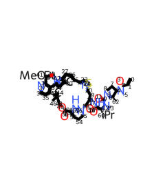 C=CC(=O)N(C)[C@@H]1CCN(C(=O)N(C)[C@H](C(=O)N[C@H]2Cc3nc(cs3)-c3ccc4c(c3)c(c(-c3cccnc3[C@H](C)OC)n4CC)CC(C)(C)COC(=O)[C@@H]3CCCN(N3)C2=O)C(C)C)[C@@H]1C